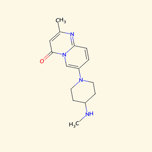 CNC1CCN(c2ccc3nc(C)cc(=O)n3c2)CC1